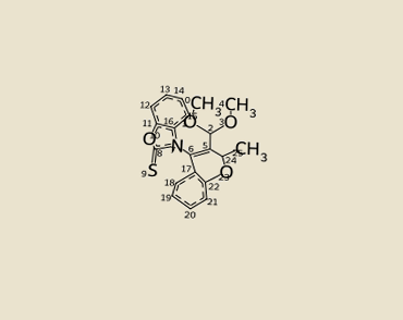 COC(OC)C1=C(n2c(=S)oc3ccccc32)c2ccccc2OC1C